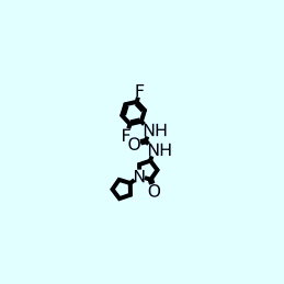 O=C(Nc1cc(F)ccc1F)NC1CC(=O)N(C2CCCC2)C1